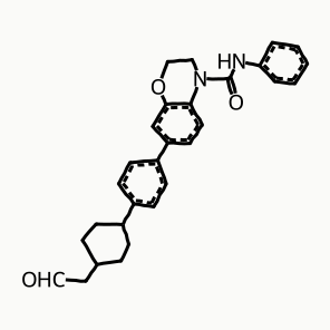 O=CCC1CCC(c2ccc(-c3ccc4c(c3)OCCN4C(=O)Nc3ccccc3)cc2)CC1